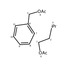 CC(=O)OCCC(C)C.CC(=O)OCc1ccccc1